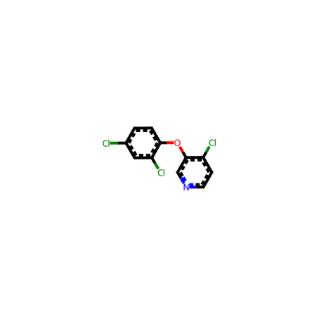 Clc1ccc(Oc2cnccc2Cl)c(Cl)c1